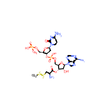 CC(C)(C)SSCC(N)C(=O)O[C@H]1[C@@H](O)[C@H](n2cnc3c(N)ncnc32)O[C@@H]1COP(=O)(O)O[C@H]1C[C@H](n2ccc(N)nc2=O)O[C@@H]1COP(=O)(O)O